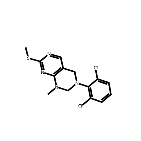 CSc1ncc2c(n1)N(C)CN(c1c(Cl)cccc1Cl)C2